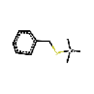 [CH3][Sn]([CH3])([CH3])[S]Cc1ccccc1